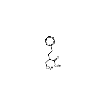 COC(=O)[C@H](CCc1ccccc1)CC(=O)O